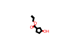 C=CCOC(=O)C1CCC(O)C1